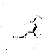 CN/C=C(/Br)SOC